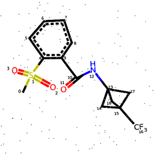 CS(=O)(=O)c1ccccc1C(=O)NC12CC(C(F)(F)F)(C1)C2